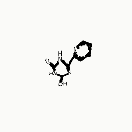 O=C1NC(c2ccccn2)=NC(O)N1